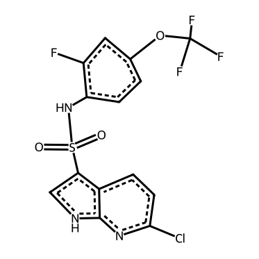 O=S(=O)(Nc1ccc(OC(F)(F)F)cc1F)c1c[nH]c2nc(Cl)ccc12